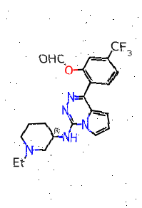 CCN1CCC[C@@H](Nc2nnc(-c3ccc(C(F)(F)F)cc3OC=O)c3cccn23)C1